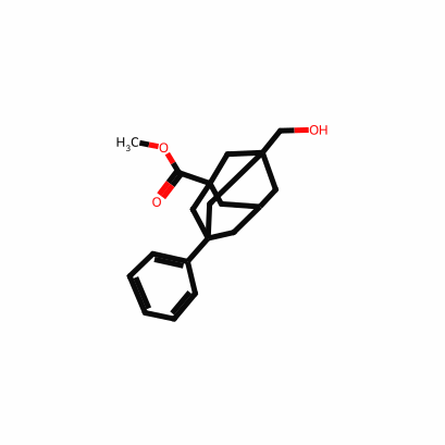 COC(=O)C12CC3CC(CO)(C1)CC(c1ccccc1)(C3)C2